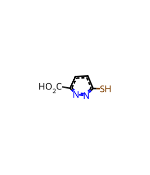 O=C(O)c1ccc(S)nn1